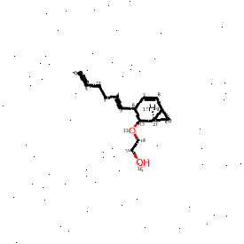 C=CCC/C=C/C1C=CC2C[C@H]2C1OCCO